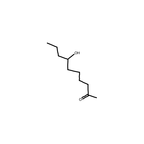 CCCC(O)CCCCC(C)=O